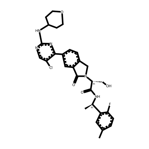 Cc1ccc(F)c([C@@H](C)NC(=O)[C@@H](CO)N2Cc3ccc(-c4nc(NC5CCOCC5)ncc4Cl)cc3C2=O)c1